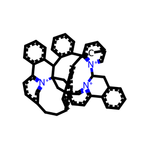 c1ccc2c(c1)CC1[n+]3cc(ccc3-2)CC23Cc4cc5cc(c4)CCc4ccc([n+]2c4)-c2ccccc2C3c2ccccc2-c2ccc(c[n+]21)CC5